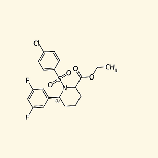 CCOC(=O)C1CCC[C@@H](c2cc(F)cc(F)c2)N1S(=O)(=O)c1ccc(Cl)cc1